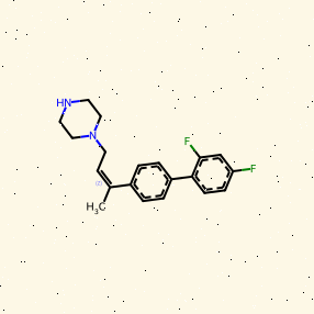 C/C(=C/CN1CCNCC1)c1ccc(-c2ccc(F)cc2F)cc1